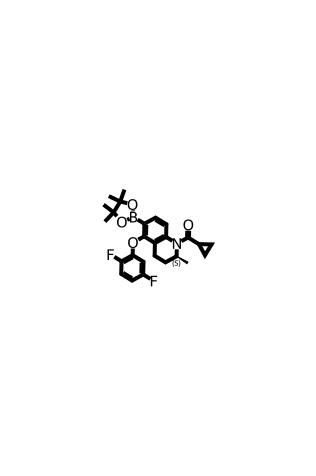 C[C@H]1CCc2c(ccc(B3OC(C)(C)C(C)(C)O3)c2Oc2cc(F)ccc2F)N1C(=O)C1CC1